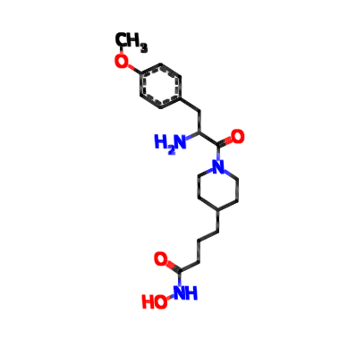 COc1ccc(CC(N)C(=O)N2CCC(CCCC(=O)NO)CC2)cc1